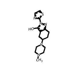 CN1CCN(C2CCc3nn(-c4nccs4)c(O)c3C2)CC1